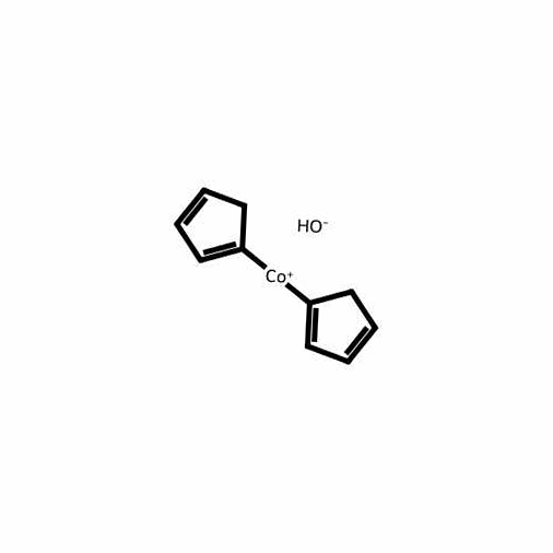 C1=CC[C]([Co+][C]2=CC=CC2)=C1.[OH-]